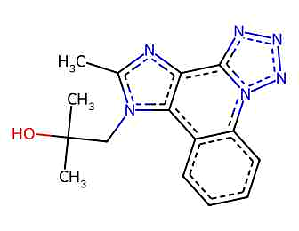 Cc1nc2c(c3ccccc3n3nnnc23)n1CC(C)(C)O